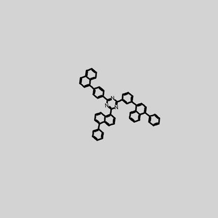 c1ccc(-c2ccc(-c3cccc(-c4nc(-c5ccc(-c6cccc7ccccc67)cc5)nc(-c5cccc6c(-c7ccccc7)cccc56)n4)c3)c3ccccc23)cc1